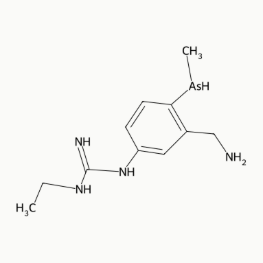 CCNC(=N)Nc1ccc([AsH]C)c(CN)c1